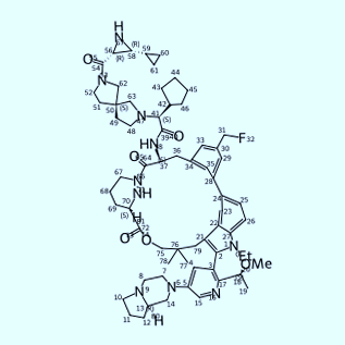 CCn1c(-c2cc(N3CCN4CCC[C@@H]4C3)cnc2[C@H](C)OC)c2c3cc(ccc31)-c1cc(CF)cc(c1)C[C@H](NC(=O)[C@H](C1CCCC1)N1CC[C@]3(CCN(C(=O)[C@@H]4N[C@@H]4C4CC4)C3)C1)C(=O)N1CCC[C@H](N1)C(=O)OCC(C)(C)C2